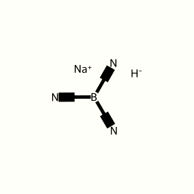 N#CB(C#N)C#N.[H-].[Na+]